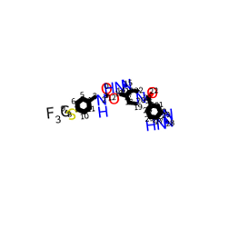 O=C(NCc1ccc(SC(F)(F)F)cc1)Oc1[nH]nc2c1CCN(C(=O)c1ccc3[nH]nnc3c1)C2